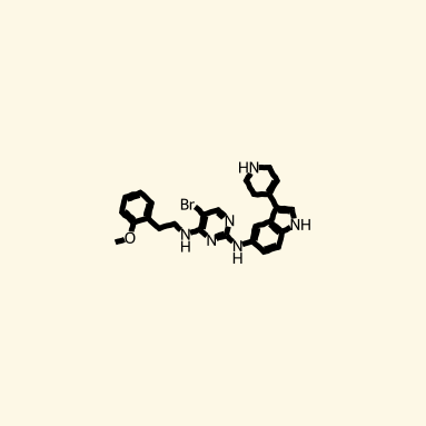 COc1ccccc1CCNc1nc(Nc2ccc3[nH]cc(C4=CCNCC4)c3c2)ncc1Br